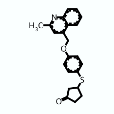 Cc1cc(COc2ccc(SC3CCC(=O)C3)cc2)c2ccccc2n1